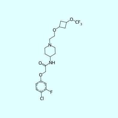 O=C(COc1ccc(Cl)c(F)c1)NC1CCN(CCOC2CC(OC(F)(F)F)C2)CC1